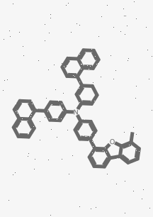 Cc1cccc2c1oc1c(-c3ccc(N(C4=CCCC(c5cccc6ccccc56)=C4)c4ccc(-c5cccc6ccccc56)cc4)cc3)cccc12